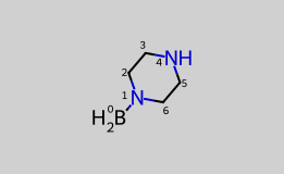 BN1CCNCC1